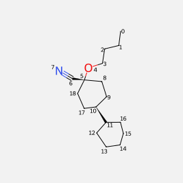 CCCCO[C@]1(C#N)CC[C@@H](C2CCCCC2)CC1